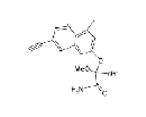 C#Cc1cnc2c(C)cc(OC(CCC)(OC)C(N)=O)cc2c1